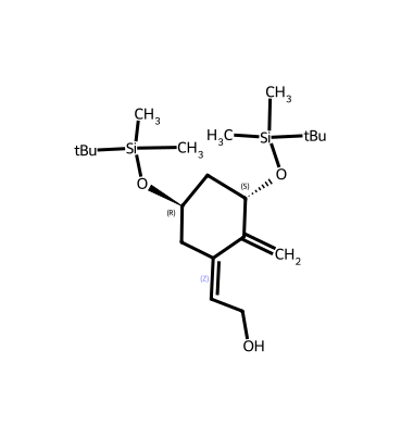 C=C1/C(=C\CO)C[C@@H](O[Si](C)(C)C(C)(C)C)C[C@@H]1O[Si](C)(C)C(C)(C)C